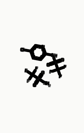 NS(=O)(=O)C(F)(F)F.O=S(=O)(Nc1ccc(Cl)cn1)C(F)(F)F